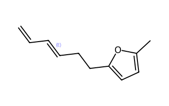 C=C/C=C/CCc1ccc(C)o1